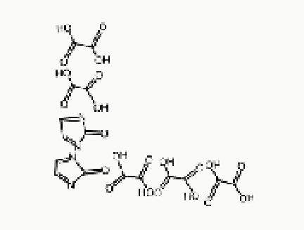 O=C(O)C(=O)O.O=C(O)C(=O)O.O=C(O)C(=O)O.O=C(O)C(=O)O.O=C(O)C(=O)O.O=C1N=CC=N1.O=C1N=CC=N1